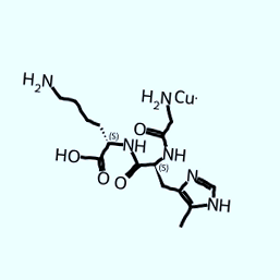 Cc1[nH]cnc1C[C@H](NC(=O)CN)C(=O)N[C@@H](CCCCN)C(=O)O.[Cu]